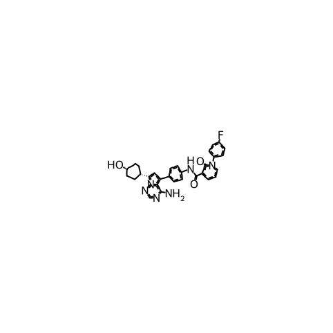 Nc1ncnn2c1c(-c1ccc(NC(=O)c3cccn(-c4ccc(F)cc4)c3=O)cc1)cc2[C@H]1CC[C@H](O)CC1